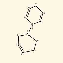 C1=CN(N2CC=CCC2)C=CC1